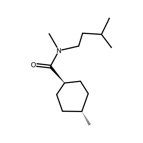 CC(C)CCN(C)C(=O)[C@H]1CC[C@H](C)CC1